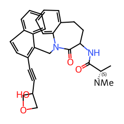 CN[C@@H](C)C(=O)NC1CCc2ccccc2N(Cc2c(C#CC3(O)COC3)ccc3ccccc23)C1=O